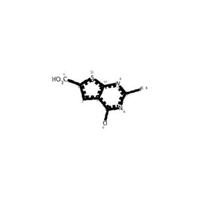 O=C(O)c1cc2c(Cl)nc(F)nc2s1